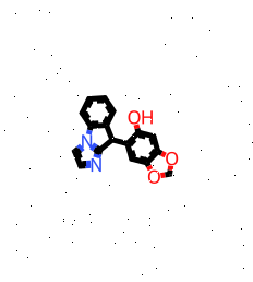 Oc1cc2c(cc1C1c3ccccc3-n3ccnc31)OCO2